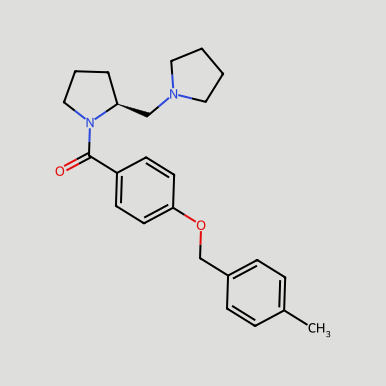 Cc1ccc(COc2ccc(C(=O)N3CCC[C@H]3CN3CCCC3)cc2)cc1